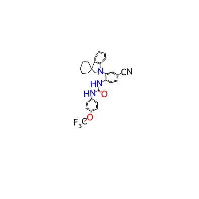 N#Cc1ccc(NC(=O)Nc2ccc(OC(F)(F)F)cc2)c(N2CC3(CCCCC3)c3ccccc32)c1